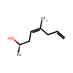 C=CC/C(=C\C[C@H](O)C(C)=O)C(F)(F)F